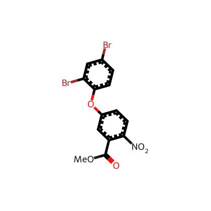 COC(=O)c1cc(Oc2ccc(Br)cc2Br)ccc1[N+](=O)[O-]